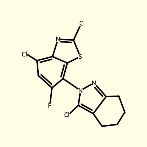 Fc1cc(Cl)c2nc(Cl)sc2c1-n1nc2c(c1Cl)CCCC2